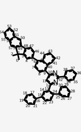 CC1(C)c2cc(-c3ccc(-c4cc(-c5cc(-c6ccccc6)ccc5-c5ccccc5)nc(-c5ccccc5)n4)c4ccccc34)ccc2-c2cc3ccccc3cc21